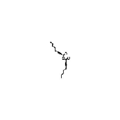 CCCCCC#CC(=O)OC(=O)C#CCCCCC